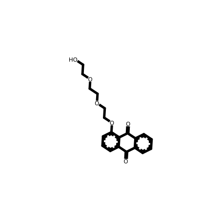 O=C1c2ccccc2C(=O)c2c(OCCOCCOCCO)cccc21